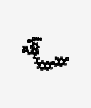 COC(=O)c1ccc2nc(CCCN3CCc4ccc(OCc5ccc(Cl)cc5F)nc4C3)n(C[C@@H]3CCO3)c2n1